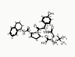 CN(C(=O)O)[C@@H](CC(C)(C)C)C(=O)N[C@H](C(=O)N1CCC[C@H]1C(=O)N[C@@H]1CCCc2ccccc21)c1ccc(O)cc1